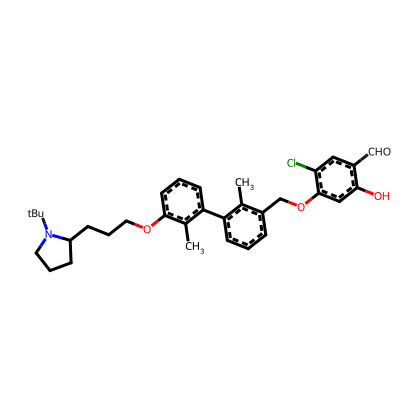 Cc1c(COc2cc(O)c(C=O)cc2Cl)cccc1-c1cccc(OCCCC2CCCN2C(C)(C)C)c1C